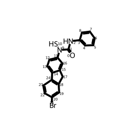 O=C(Nc1ccccc1)N(S)c1ccc2c(c1)Cc1cc(Br)ccc1-2